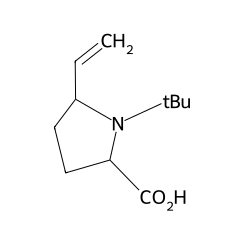 C=CC1CCC(C(=O)O)N1C(C)(C)C